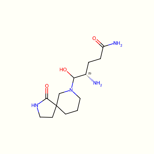 NC(=O)CC[C@H](N)C(O)N1CCCC2(CCNC2=O)C1